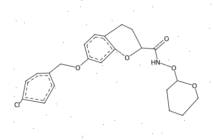 O=C(NOC1CCCCO1)C1CCc2ccc(OCc3ccc(Cl)cc3)cc2O1